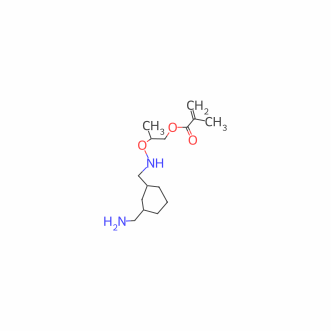 C=C(C)C(=O)OCC(C)ONCC1CCCC(CN)C1